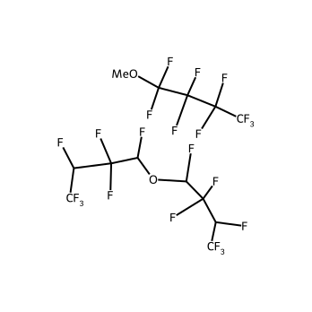 COC(F)(F)C(F)(F)C(F)(F)C(F)(F)F.FC(OC(F)C(F)(F)C(F)C(F)(F)F)C(F)(F)C(F)C(F)(F)F